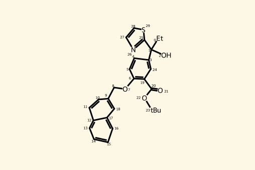 CCC(O)(c1ccc(OCc2ccc3ccccc3c2)c(C(=O)OC(C)(C)C)c1)c1nccs1